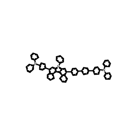 c1ccc(N(c2ccccc2)c2ccc(-c3ccc(-c4ccc(-c5cc6c(c7ccccc57)c5c7ccccc7c(-c7ccc(N(c8ccccc8)c8ccccc8)cc7)cc5n6-c5ccccc5)cc4)cc3)cc2)cc1